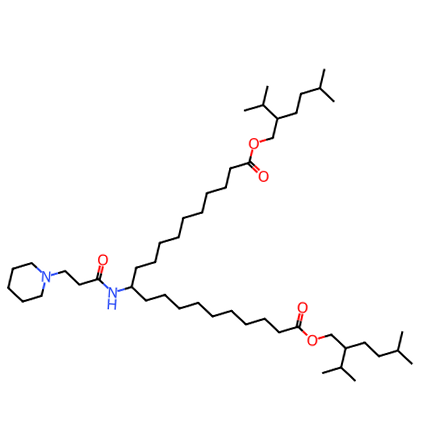 CC(C)CCC(COC(=O)CCCCCCCCCC(CCCCCCCCCC(=O)OCC(CCC(C)C)C(C)C)NC(=O)CCN1CCCCC1)C(C)C